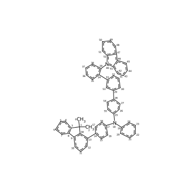 CC1(C)c2ccccc2-c2cccc(-c3ccc(N(c4ccccc4)c4ccc(-c5cccc(-c6ccccc6-n6c7ccccc7c7ccccc76)c5)cc4)cc3)c21